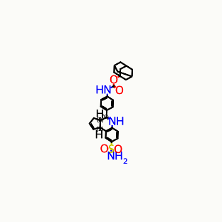 NS(=O)(=O)c1ccc2c(c1)[C@H]1C=CC[C@H]1[C@@H](c1ccc(NC(=O)OC34CC5CC(CC(C5)C3)C4)cc1)N2